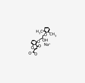 Cc1cccc(C)c1OCC(O)COc1cccc2oc(C(=O)[O-])cc(=O)c12.[Na+]